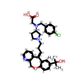 CC(C)(O)c1ccc2c(c1)/C(=C/CCN1CC[C@@H](N(CC(=O)O)Cc3ccc(Cl)cc3)C1)c1cccnc1CO2